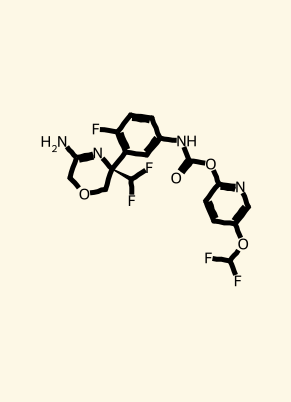 NC1=N[C@@](c2cc(NC(=O)Oc3ccc(OC(F)F)cn3)ccc2F)(C(F)F)COC1